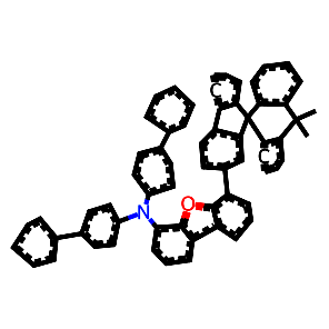 CC1(C)c2ccccc2C2(c3ccccc3-c3ccc(-c4cccc5c4oc4c(N(c6ccc(-c7ccccc7)cc6)c6ccc(-c7ccccc7)cc6)cccc45)cc32)c2ccccc21